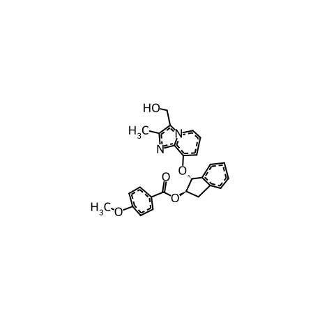 COc1ccc(C(=O)O[C@@H]2Cc3ccccc3[C@H]2Oc2cccn3c(CO)c(C)nc23)cc1